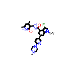 Cc1cc(C)c(CNC(=O)c2cc(-c3ccc(N4CCN(C)CC4)nc3)cc3c2c(F)cn3C(C)C)c(=O)[nH]1